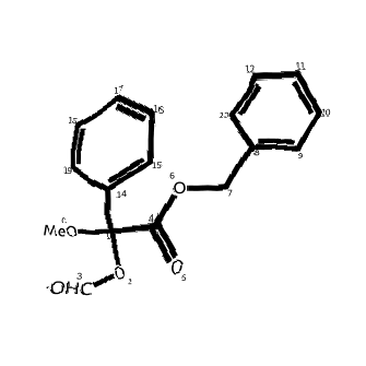 COC(O[C]=O)(C(=O)OCc1ccccc1)c1ccccc1